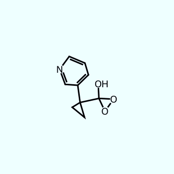 OC1(C2(c3cccnc3)CC2)OO1